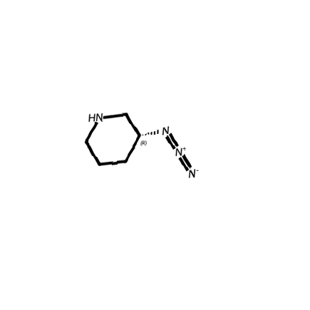 [N-]=[N+]=N[C@@H]1CCCNC1